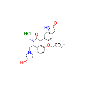 CN(C(=O)Cc1ccc2c(c1)NC(=O)C2)C(CN1CCC(O)C1)c1cccc(OCC(=O)O)c1.Cl